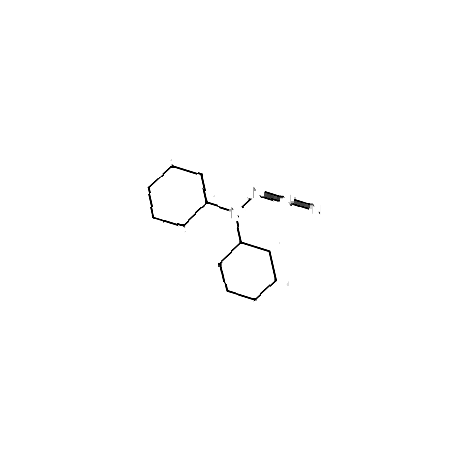 [N-]=[N+]=NN(C1CCCCC1)C1CCCCC1